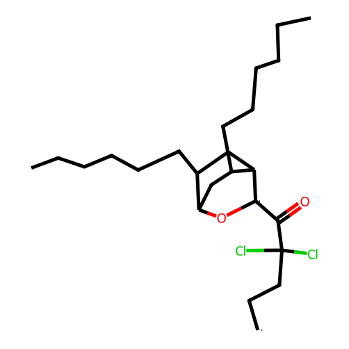 [CH2]CCC(Cl)(Cl)C(=O)[C]1OC2CC(CCCCCC)C1CC2CCCCCC